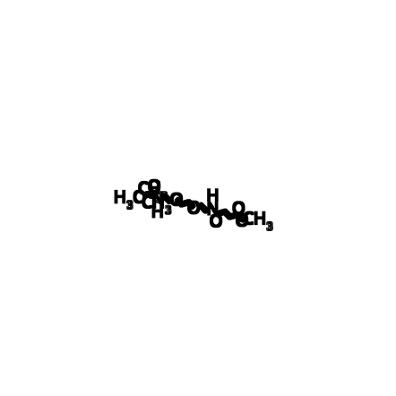 COC(=O)CCC(=O)NCCOCCOCCNC(=O)C(C)(C)C